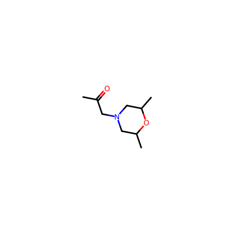 CC(=O)CN1CC(C)OC(C)C1